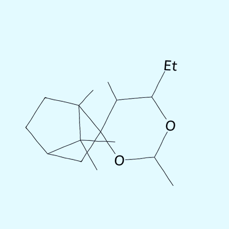 CCC1OC(C)OC2(CC3CCC2(C)C3(C)C)C1C